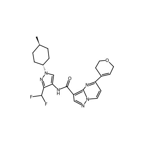 C[C@H]1CC[C@H](n2cc(NC(=O)c3cnn4ccc(C5=CCOCC5)nc34)c(C(F)F)n2)CC1